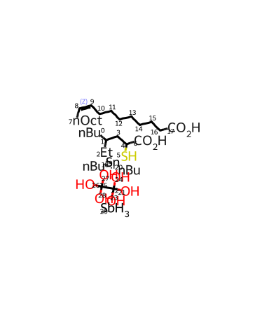 CCCCC(CC)CC(S)C(=O)O.CCCCCCCC/C=C\CCCCCCCC(=O)O.CCC[CH2][Sn][CH2]CCC.OC(O)(O)C(O)(O)O.[SbH3]